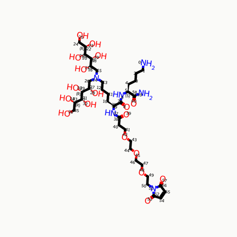 NCCCC[C@H](NC(=O)[C@H](CCCCN(C[C@H](O)[C@@H](O)[C@H](O)[C@H](O)CO)C[C@H](O)[C@@H](O)[C@H](O)[C@H](O)CO)NC(=O)CCOCCOCCOCCN1C(=O)C=CC1=O)C(N)=O